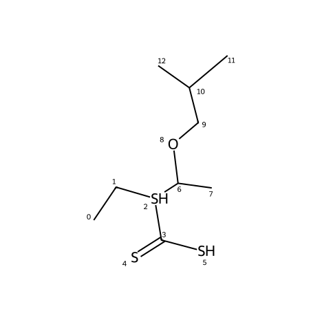 CC[SH](C(=S)S)C(C)OCC(C)C